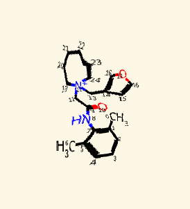 Cc1cccc(C)c1NC(=O)C[N+]1(Cc2ccoc2)CCCCCC1